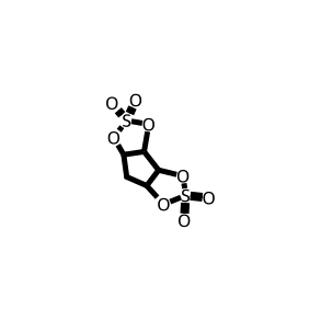 O=S1(=O)OC2CC3OS(=O)(=O)OC3C2O1